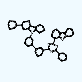 c1ccc(-c2ccc3c4ccccc4n(-c4cccc(-c5cccc(-c6nc(-c7ccccc7)nc(-c7cccc8c7oc7ccccc78)n6)c5)c4)c3c2)cc1